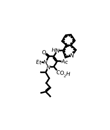 CCN1C(=O)C(Nc2cncc3ccccc23)=C(C(C)=O)C(C(=O)O)N1C(C)CCC=C(C)C